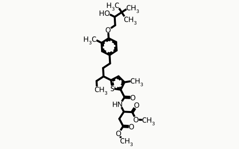 CCC(CCc1ccc(OCC(O)C(C)(C)C)c(C)c1)c1cc(C)c(C(=O)NC(CC(=O)OC)C(=O)OC)s1